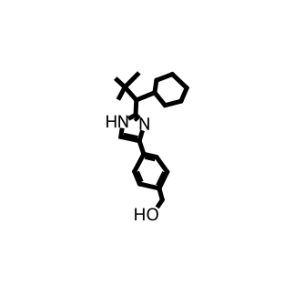 CC(C)(C)C(c1nc(-c2ccc(CO)cc2)c[nH]1)C1CCCCC1